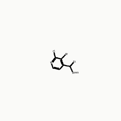 CCCCCCC(CC)c1ccnc(Cl)c1Br